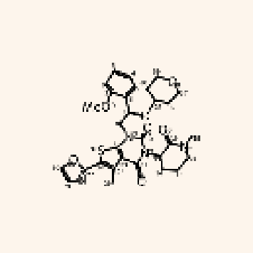 COc1ccccc1C(Cn1c(=O)n(C2CCCN(C)C2=O)c(=O)c2c(C)c(-c3ncco3)sc21)OC1CCOCC1